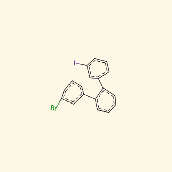 Brc1cccc(-c2ccccc2-c2cccc(I)c2)c1